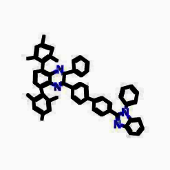 Cc1cc(C)c(-c2ccc(-c3c(C)cc(C)cc3C)c3nc(-c4ccc(-c5ccc(-c6nc7ccccc7n6-c6ccccc6)cc5)cc4)c(-c4ccccc4)nc23)c(C)c1